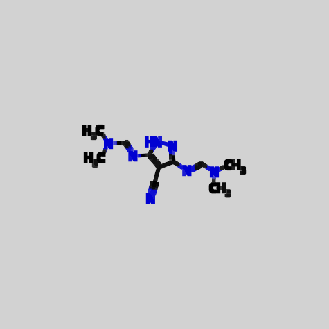 CN(C)C=Nc1n[nH]c(N=CN(C)C)c1C#N